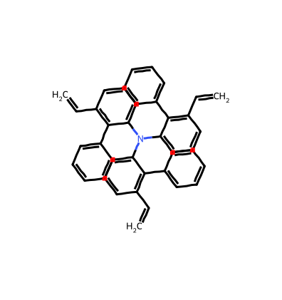 C=Cc1cccc(N(c2cccc(C=C)c2-c2ccccc2)c2cccc(C=C)c2-c2ccccc2)c1-c1ccccc1